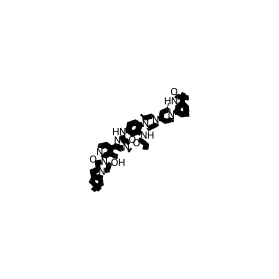 C=CC(=O)Nc1cc(Nc2nc(-c3ccnc(N4CCn5c(cc6c5CC(C)(C)C6)C4=O)c3CO)cn(C)c2=O)ccc1N1CCN(C2CCN(c3cccc4c3NC(=O)C4(C)C)[C@@H](C)C2)C[C@@H]1C